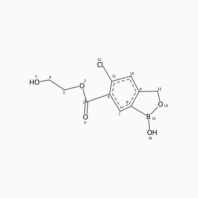 O=C(OCCO)c1cc2c(cc1Cl)COB2O